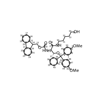 COc1ccc(C(OCC(NC(=O)OCC2c3ccccc3-c3ccccc32)C(=O)NCCCCCO)(c2ccccc2)c2ccc(OC)cc2)cc1